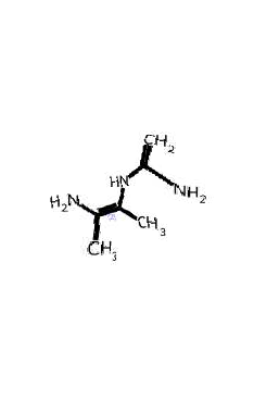 C=C(N)N/C(C)=C(/C)N